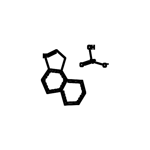 C1=Nc2ccc3ccccc3c2C1.O=[N+]([O-])O